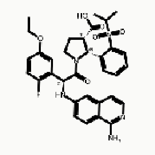 CCOc1ccc(F)c([C@H](Nc2ccc3c(N)nccc3c2)C(=O)N2CC[C@H](C(=O)O)[C@@H]2c2ccccc2S(=O)(=O)C(C)C)c1